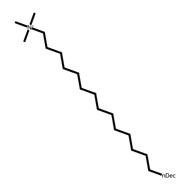 CCCCCCCCCCCCCCCCCCCCCCCC[N+](C)(C)C